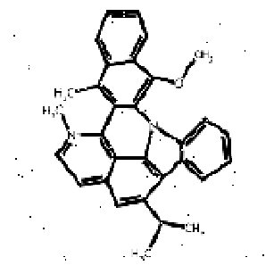 COc1c2ccccc2c(C)c2c1n1c3ccccc3c3c(C(C)C)cc4cc[n+](C)c2c4c31